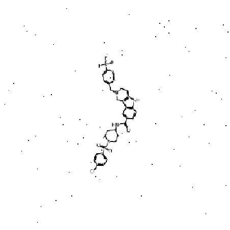 O=C(NC1CCN(S(=O)(=O)c2ccc(Cl)cc2)CC1)c1ccc2[nH]c3c(c2c1)CN(Cc1ccc(C(F)(F)F)cc1)CC3